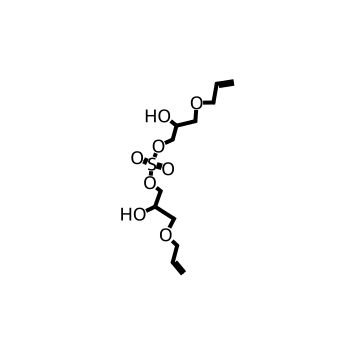 C=CCOCC(O)COS(=O)(=O)OCC(O)COCC=C